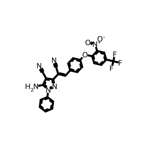 N#CC(=Cc1ccc(Oc2ccc(C(F)(F)F)cc2[N+](=O)[O-])cc1)c1nn(-c2ccccc2)c(N)c1C#N